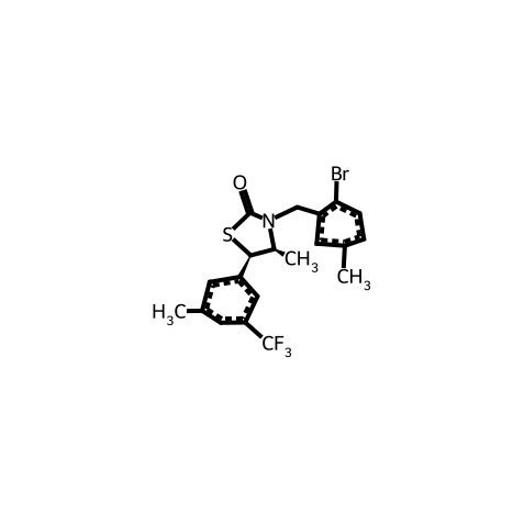 Cc1cc([C@H]2SC(=O)N(Cc3cc(C)ccc3Br)[C@H]2C)cc(C(F)(F)F)c1